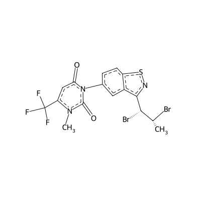 C[C@@H](Br)[C@H](Br)c1nsc2ccc(-n3c(=O)cc(C(F)(F)F)n(C)c3=O)cc12